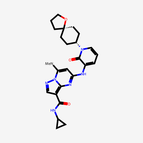 CNc1cc(Nc2cccn([C@H]3CC[C@@]4(CCCO4)CC3)c2=O)nc2c(C(=O)NC3CC3)cnn12